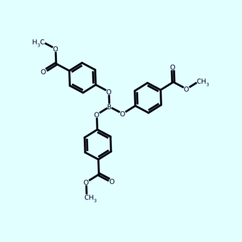 COC(=O)c1ccc(OB(Oc2ccc(C(=O)OC)cc2)Oc2ccc(C(=O)OC)cc2)cc1